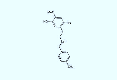 COc1cc(Br)c(CCNCc2ccc(C)cc2)cc1O